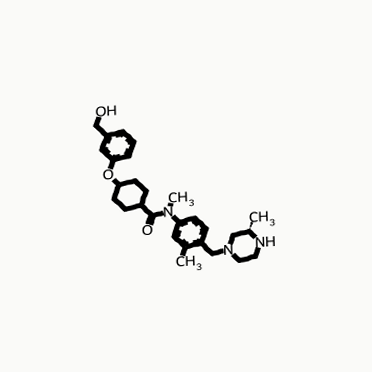 Cc1cc(N(C)C(=O)C2CCC(Oc3cccc(CO)c3)CC2)ccc1CN1CCN[C@@H](C)C1